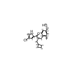 O=C(c1cc(Cl)n[nH]1)N(Cc1ccc(OO)cc1F)CC1CCC1